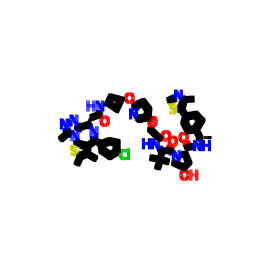 Cc1ncsc1-c1ccc([C@H](C)NC(=O)[C@@H]2C[C@@H](O)CN2C(=O)C(NC(=O)COc2ccc(O[C@H]3C[C@H](NC(=O)C[C@@H]4N=C(c5ccc(Cl)cc5)c5c(sc(C)c5C)-n5c(C)nnc54)C3)nc2)C(C)(C)C)cc1